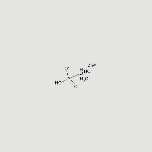 O.O=P([O-])(O)O.[OH-].[Zn+2]